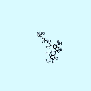 CC/C(=C\CNC(=O)COOOC=O)c1cc(NC(C)C)c(C=N)c(C(=O)NCc2c(C)cc(C)[nH]c2=O)c1